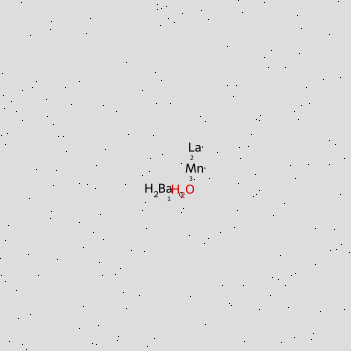 O.[BaH2].[La].[Mn]